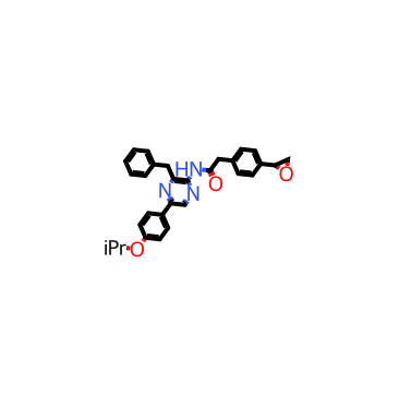 CC(C)Oc1ccc(-c2cnc(NC(=O)Cc3ccc(C4CO4)cc3)c(Cc3ccccc3)n2)cc1